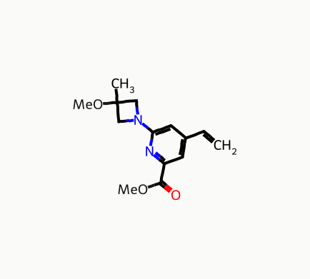 C=Cc1cc(C(=O)OC)nc(N2CC(C)(OC)C2)c1